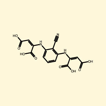 N#Cc1c(NC(=CC(=O)O)C(=O)O)cccc1NC(=CC(=O)O)C(=O)O